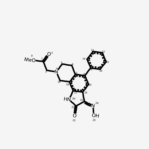 COC(=O)CN1CCc2c(-c3ccccc3)cc3c(c2C1)NC(=O)C3=NO